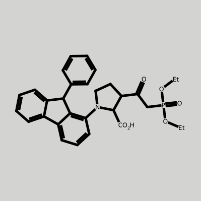 CCOP(=O)(CC(=O)C1CCN(c2cccc3c2C(c2ccccc2)c2ccccc2-3)C1C(=O)O)OCC